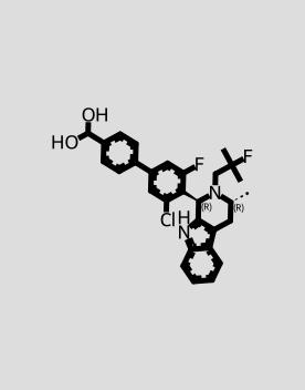 C[C@@H]1Cc2c([nH]c3ccccc23)[C@@H](c2c(F)cc(-c3ccc(C(O)O)cc3)cc2Cl)N1CC(C)(C)F